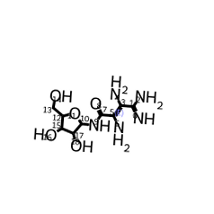 N=C(N)/C(N)=C(\N)C(=O)NC1OC(CO)C(O)C1O